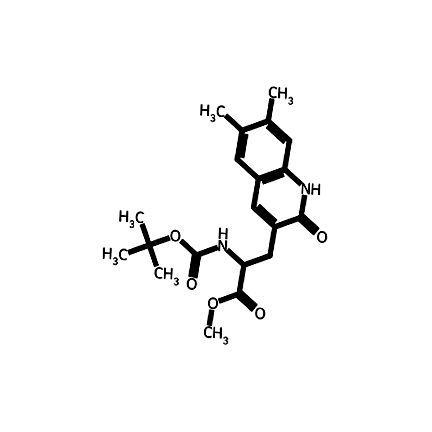 COC(=O)C(Cc1cc2cc(C)c(C)cc2[nH]c1=O)NC(=O)OC(C)(C)C